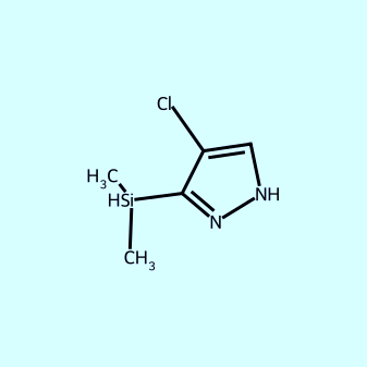 C[SiH](C)c1n[nH]cc1Cl